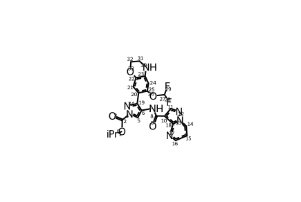 CC(C)OC(=O)n1cc(NC(=O)c2cnn3cccnc23)c(-c2cc3c(cc2OC(F)F)NCCO3)n1